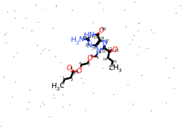 CCCC(=O)OCCOCn1c(C(=O)CCC)nc2c(=O)[nH]c(N)nc21